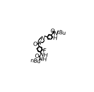 CCCCNC(=O)Nc1ccc(C(=O)N2CCN(Cc3cccc(C(=O)NC(C)(C)C)c3)CC2)cc1F